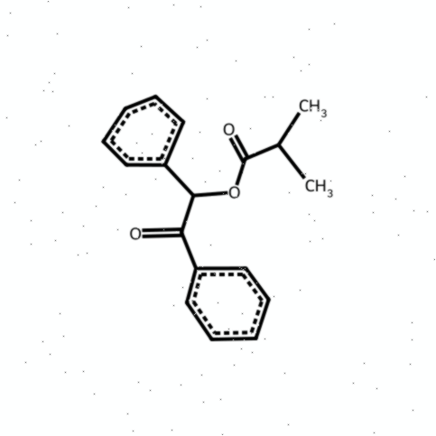 CC(C)C(=O)OC(C(=O)c1ccccc1)c1ccccc1